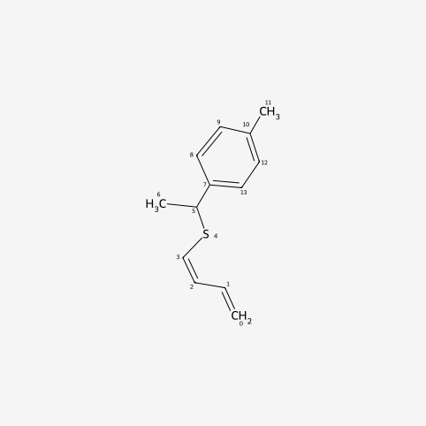 C=C/C=C\SC(C)c1ccc(C)cc1